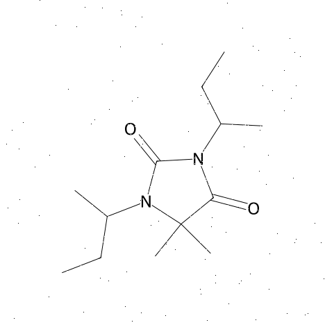 CCC(C)N1C(=O)N(C(C)CC)C(C)(C)C1=O